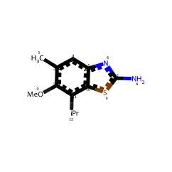 COc1c(C)cc2nc(N)sc2c1C(C)C